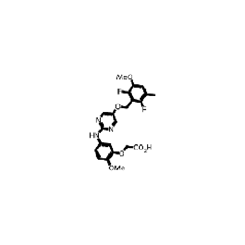 COc1ccc(Nc2ncc(OCc3c(F)c(C)cc(OC)c3F)cn2)cc1OCC(=O)O